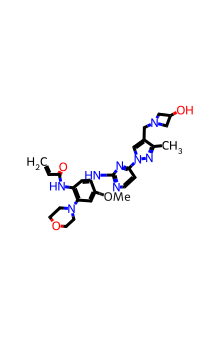 C=CC(=O)Nc1cc(Nc2nccc(-n3cc(CN4CC(O)C4)c(C)n3)n2)c(OC)cc1N1CCOCC1